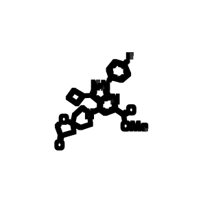 COC(=O)c1cc(N2CCC3(CC2)CC(=O)CO3)c2c(C3CCC3)nn(-c3ccc(F)cc3)c2n1